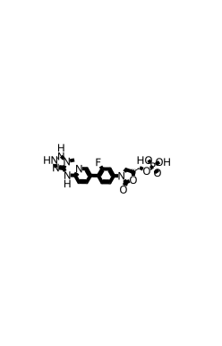 CN1NNN=C1Nc1ccc(-c2ccc(N3C[C@H](COP(=O)(O)O)OC3=O)cc2F)cn1